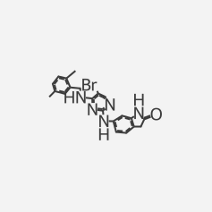 Cc1ccc(C)c(CNc2nc(Nc3ccc4c(c3)NC(=O)C4)ncc2Br)c1